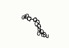 CC(C)(C)OC(=O)N1CCC2(CCc3ccc(-c4ccc(CS(C)(=O)=O)cc4)cc3O2)CC1